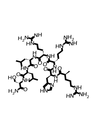 CC(C)C[C@H](NC(=O)[C@H](CC(C)C)NC(=O)[C@H](CCCNC(=N)N)NC(=O)[C@H](CCCNC(=N)N)NC(=O)[C@H](Cc1c[nH]cn1)NC(=O)[C@@H](C)CCCNC(=N)N)C(=O)N[C@@H](CO)C(N)=O